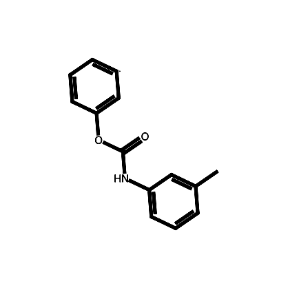 Cc1cccc(NC(=O)Oc2c[c]ccc2)c1